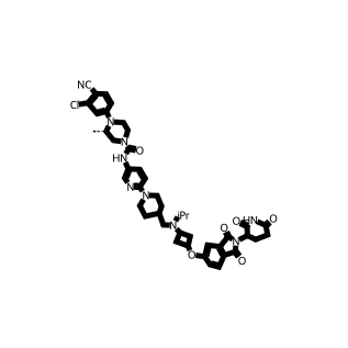 CC(C)N(CC1CCN(c2ccc(NC(=O)N3CCN(c4ccc(C#N)c(Cl)c4)[C@@H](C)C3)cn2)CC1)C1CC(Oc2ccc3c(c2)C(=O)N(C2CCC(=O)NC2=O)C3=O)C1